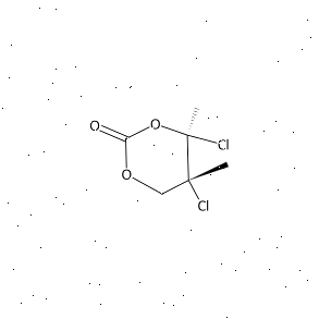 C[C@@]1(Cl)COC(=O)O[C@@]1(C)Cl